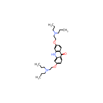 CCCN(CCC)CCOc1ccc2c(=O)c3ccc(OCCN(CCC)CCC)cc3[nH]c2c1